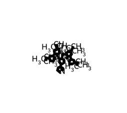 CC(C)(C)c1ccc2c(c1)c1cc(C(C)(C)C)ccc1n2-c1cc(-c2cccnc2)cc(-n2c3ccc(C(C)(C)C)cc3c3cc(C(C)(C)C)ccc32)c1C#N